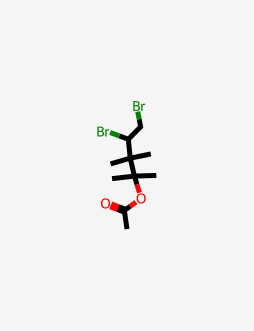 CC(=O)OC(C)(C)C(C)(C)C(Br)CBr